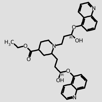 CCOC(=O)C1CCN(CC[C@H](O)Oc2cccc3ncccc23)C(CC[C@H](O)Oc2cccc3ncccc23)C1